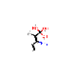 C=C/C(N)=C(\CC)C(O)(O)O